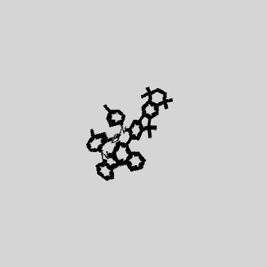 Cc1ccc(N2B3c4cc(C)ccc4-n4c5ccccc5c5c6ccccc6c(c3c54)-c3cc4c(cc32)-c2cc3c(cc2C4(C)C)C(C)(C)CCC3(C)C)cc1